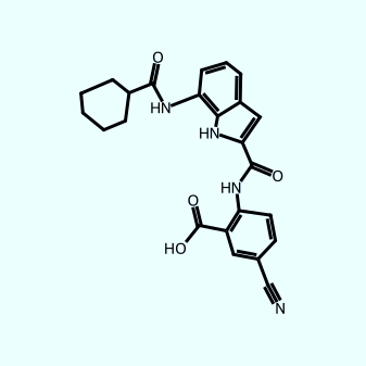 N#Cc1ccc(NC(=O)c2cc3cccc(NC(=O)C4CCCCC4)c3[nH]2)c(C(=O)O)c1